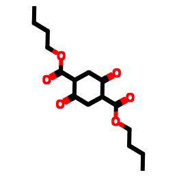 CCCCOC(=O)C1CC(=O)C(C(=O)OCCCC)CC1=O